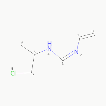 C=C/N=C\NC(C)CCl